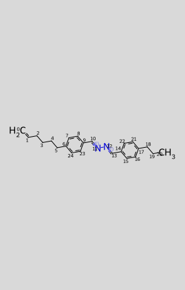 C=CCCCCc1ccc(/C=N/N=C/c2ccc(CCC)cc2)cc1